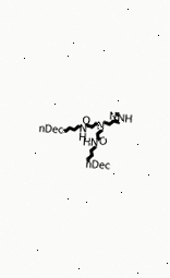 CCCCCCCCCCCCCCNC(=O)CCN(CCC(=O)NCCCCCCCCCCCCCC)CCc1c[nH]cn1